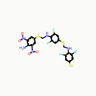 Nc1c([N+](=O)[O-])cc(SCNc2c(F)cc(SCNc3c(F)cc(S)cc3F)cc2F)cc1[N+](=O)[O-]